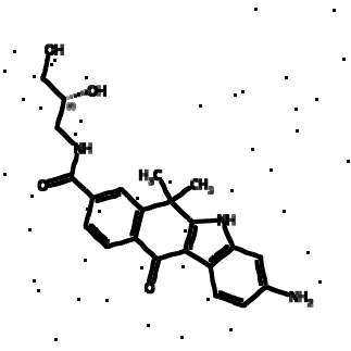 CC1(C)c2cc(C(=O)NC[C@@H](O)CO)ccc2C(=O)c2c1[nH]c1cc(N)ccc21